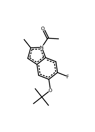 CC(=O)n1c(C)cc2cc(OC(C)(C)C)c(F)cc21